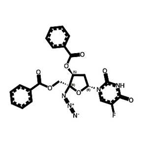 [N-]=[N+]=N[C@]1(COC(=O)c2ccccc2)O[C@@H](n2cc(F)c(=O)[nH]c2=O)C[C@@H]1OC(=O)c1ccccc1